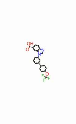 O=C(O)c1ccc2ncn(-c3cccc(-c4ccc(OC(F)(F)F)cc4)c3)c2c1